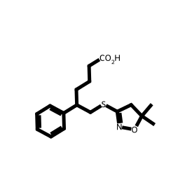 CC1(C)CC(SCC(CCCC(=O)O)c2ccccc2)=NO1